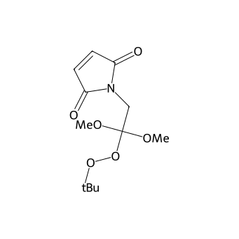 COC(CN1C(=O)C=CC1=O)(OC)OOC(C)(C)C